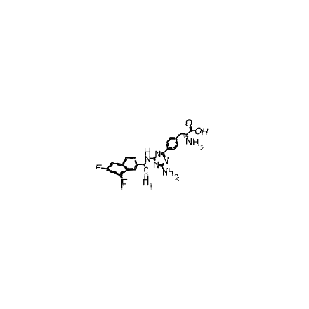 CC(Nc1nc(N)nc(-c2ccc(C[C@H](N)C(=O)O)cc2)n1)c1ccc2cc(F)cc(F)c2c1